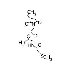 CSCCC(=O)NCC(C)OC(=O)CCN1C(=O)CC(SC)C1=O